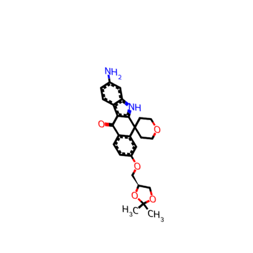 CC1(C)OC[C@H](COc2ccc3c(c2)C2(CCOCC2)c2[nH]c4cc(N)ccc4c2C3=O)O1